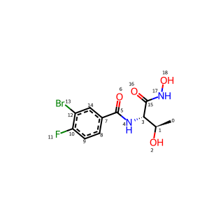 C[C@@H](O)[C@H](NC(=O)c1ccc(F)c(Br)c1)C(=O)NO